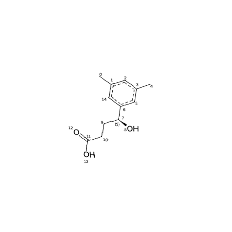 Cc1cc(C)cc([C@@H](O)CCC(=O)O)c1